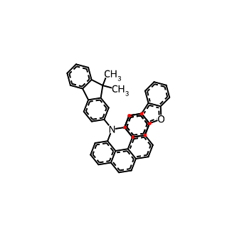 CC1(C)c2ccccc2-c2ccc(N(c3ccc4oc5ccccc5c4c3)c3cccc4ccc5ccc6ccccc6c5c34)cc21